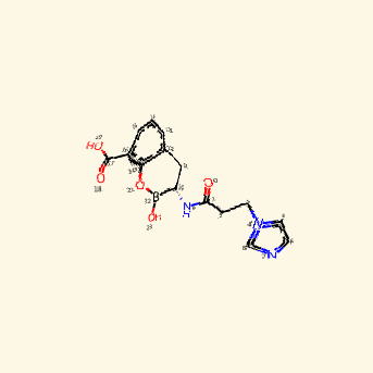 O=C(CCn1ccnc1)N[C@H]1Cc2cccc(C(=O)O)c2OB1O